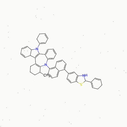 CC1CCCC2=C1N(c1cccc3c(-c4ccc5c(c4)NC(C4=CCCC=C4)S5)cccc13)c1ccccc1C1=C2C2C=CC=CC2N1C1=CC=CCC1